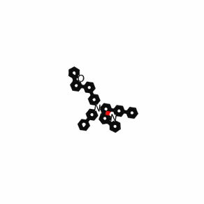 C1=CCC(c2ccc(N(c3ccc(-c4cccc(-c5cccc6c5oc5ccccc56)c4)cc3)c3ccc(-c4ccc(-c5ccccc5)cc4-n4c5ccccc5c5ccccc54)cc3)cc2)C=C1